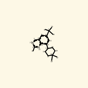 Cc1ncc2cc(C(C)(C)C)cc(C3CCC(C)(C)CC3)c2n1